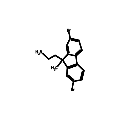 CC1(CCN)c2cc(Br)ccc2-c2ccc(Br)cc21